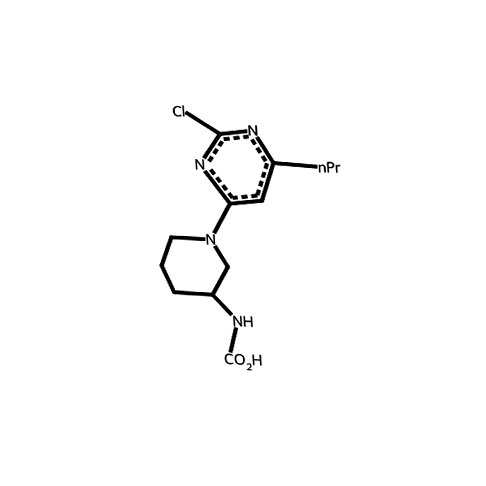 CCCc1cc(N2CCCC(NC(=O)O)C2)nc(Cl)n1